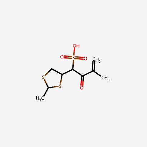 C=C(C)C(=O)C(C1CSC(C)S1)S(=O)(=O)O